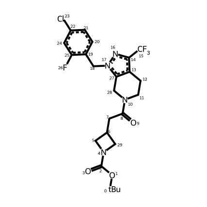 CC(C)(C)OC(=O)N1CC(CC(=O)N2CCc3c(C(F)(F)F)nn(Cc4ccc(Cl)cc4F)c3C2)C1